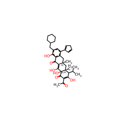 CC(=O)C1=C(O)C(C(C)C)[C@@]2(C)C[C@@]3(C)Cc4c(C5=CCC=C5)cc(CC5CCCCC5)c(O)c4C(=O)C3=C(O)[C@@]2(O)C1=O